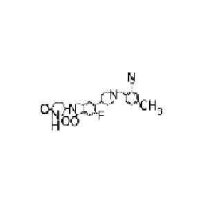 Cc1ccc(CN2CCC(c3cc4c(cc3F)C(=O)N(C3CCC(=O)NC3=O)C4)CC2)c(C#N)c1